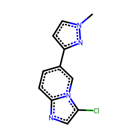 Cn1ccc(-c2ccc3ncc(Cl)n3c2)n1